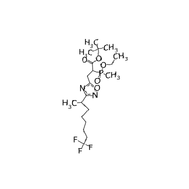 CCOP(C)(=O)C(Cc1nc(C(C)CCCCCC(F)(F)F)no1)C(=O)OC(C)(C)C